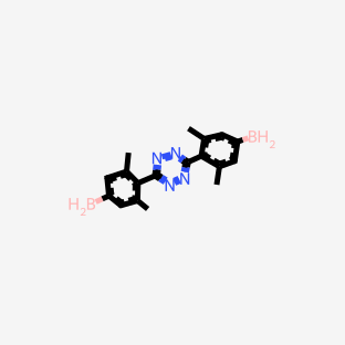 Bc1cc(C)c(-c2nnc(-c3c(C)cc(B)cc3C)nn2)c(C)c1